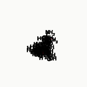 CC(C)C[C@H](NC(=O)[C@H](CCCCN)NC(=O)[C@H](CO)NC(=O)[C@@H](N)CCCCN)C(=O)NCC(=O)N[C@@H](CC(=O)O)C(=O)N[C@@H](CC(C)C)C(=O)N[C@H](C(=O)N[C@H](C(=O)N[C@H](C(=O)N[C@@H](CO)C(=O)N[C@@H](C)C(=O)N[C@@H](C)C(=O)NCC(=O)NCC(=O)N[C@@H](CCC(=O)O)C(=O)O)C(C)C)[C@@H](C)O)C(C)C